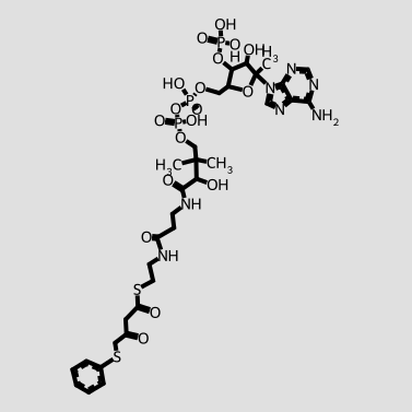 CC(C)(COP(=O)(O)OP(=O)(O)OCC1OC(C)(n2cnc3c(N)ncnc32)C(O)C1OP(=O)(O)O)C(O)C(=O)NCCC(=O)NCCSC(=O)CC(=O)CSc1ccccc1